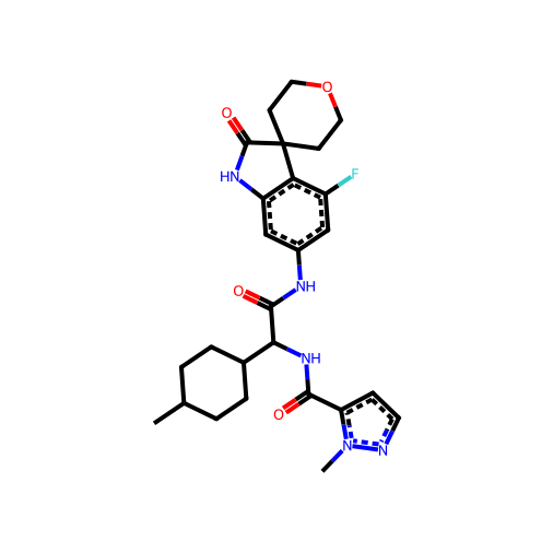 CC1CCC(C(NC(=O)c2ccnn2C)C(=O)Nc2cc(F)c3c(c2)NC(=O)C32CCOCC2)CC1